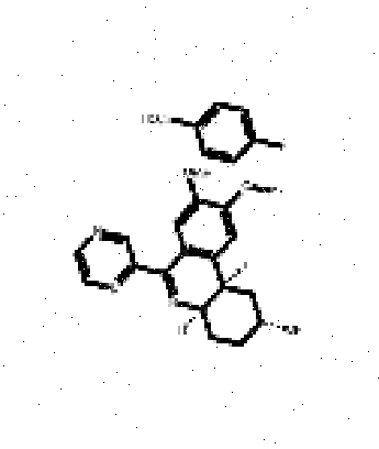 CCOc1cc2c(cc1OC)C(c1cnccn1)=N[C@@H]1CC[C@@H](O)C[C@H]21.Cc1ccc(S(=O)(=O)O)cc1